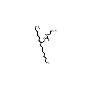 CCCCCCCCC(CCCCCC)COC(=O)NCCO